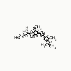 COc1cc(-c2noc(-c3cnc(CC(C)C)c(C)c3)n2)cc(Cl)c1OCC(O)CNCCO